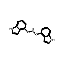 B(Oc1cccc2[nH]ccc12)Oc1cccc2[nH]ccc12